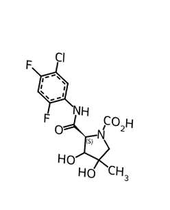 CC1(O)CN(C(=O)O)[C@H](C(=O)Nc2cc(Cl)c(F)cc2F)C1O